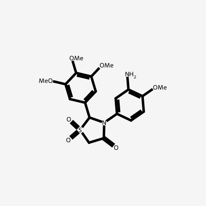 COc1ccc(N2C(=O)CS(=O)(=O)C2c2cc(OC)c(OC)c(OC)c2)cc1N